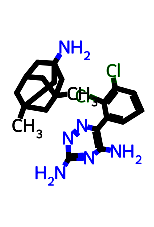 CC12CC3CC(C)(C1)CC(N)(C3)C2.Nc1nnc(-c2cccc(Cl)c2Cl)c(N)n1